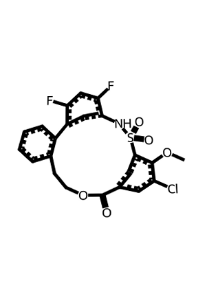 COc1c(Cl)cc2cc1S(=O)(=O)Nc1cc(c(F)cc1F)-c1ccccc1CCOC2=O